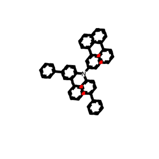 c1ccc(-c2ccc(N(c3cccc(-c4cccc5cccc(-c6ccccc6)c45)c3)c3ccc(-c4ccccc4)cc3-c3ccccc3)cc2)cc1